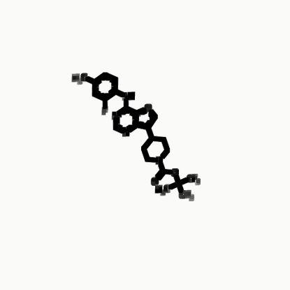 Cc1ccc(Nc2ncnc3c(C4CCN(C(=O)OC(C)(C)C(F)(F)F)CC4)coc23)c(F)c1